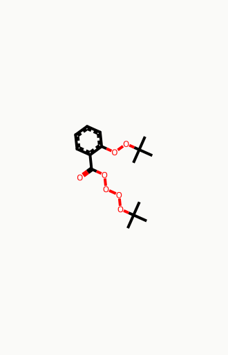 CC(C)(C)OOOOC(=O)c1ccccc1OOC(C)(C)C